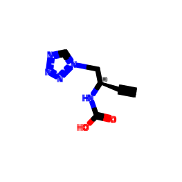 C#C[C@H](Cn1cnnn1)NC(=O)O